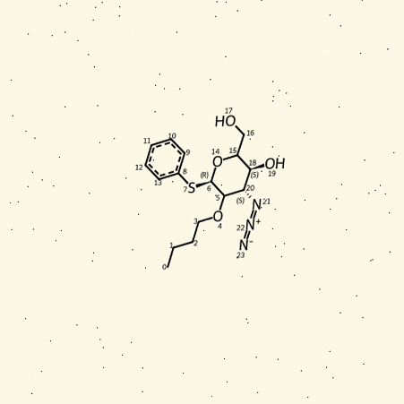 CCCCOC1[C@@H](Sc2ccccc2)OC(CO)[C@@H](O)[C@@H]1N=[N+]=[N-]